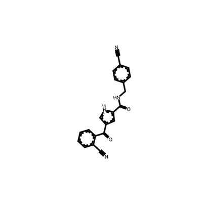 N#Cc1ccc(CNC(=O)c2cc(C(=O)c3ccccc3C#N)c[nH]2)cc1